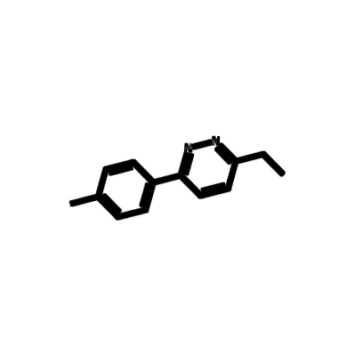 CCc1ccc(-c2ccc(C)cc2)nn1